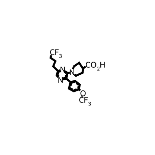 O=C(O)C1CCN(c2nc(CCCC(F)(F)F)cnc2-c2ccc(OC(F)(F)F)cc2)CC1